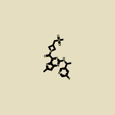 Cc1cc2nc(NC(C)c3cncc(F)c3)nc(C(=O)N3CC(CS(C)(=O)=O)C3)c2s1